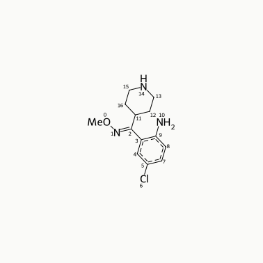 CON=C(c1cc(Cl)ccc1N)C1CCNCC1